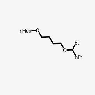 [CH2]CCC(CC)OCCCCOCCCCCC